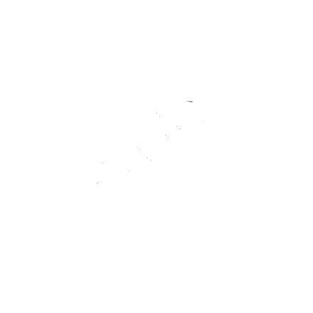 C[C@H](O)c1nc(CN2N=C(c3ccc(Cl)cc3)N(C[C@H](O)C(F)(F)F)C2O)nn1-c1cccc(F)n1